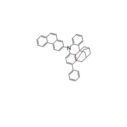 c1ccc(-c2ccc(N(c3ccc4c(ccc5ccccc54)c3)c3ccccc3C34CC5CC(CC(C5)C3)C4)cc2)cc1